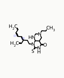 C=C/C=C\C=C(/C=C)CCN1C(=S)NC(=O)C2CN(CCC)CNC21